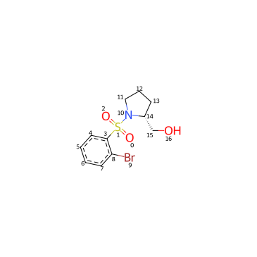 O=S(=O)(c1ccccc1Br)N1CCC[C@@H]1CO